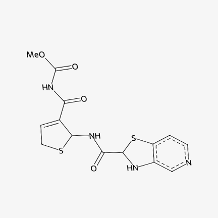 COC(=O)NC(=O)C1=CCSC1NC(=O)C1Nc2cnccc2S1